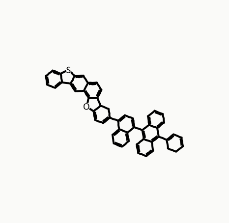 C1=CCCC(c2c3ccccc3c(-c3ccc(C4=CC=C5Oc6c(ccc7cc8sc9ccccc9c8cc67)C5C4)c4ccccc34)c3ccccc23)=C1